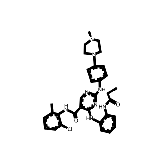 CCC(=O)Nc1ccccc1Nc1nc(Nc2ccc(N3CCN(C)CC3)cc2)ncc1C(=O)Nc1c(C)cccc1Cl